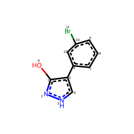 Oc1n[nH]cc1-c1cccc(Br)c1